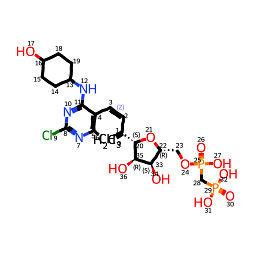 C=C(/C=C\c1c(C)nc(Cl)nc1NC1CCC(O)CC1)[C@@H]1O[C@H](COP(=O)(O)CP(=O)(O)O)[C@@H](O)[C@H]1O